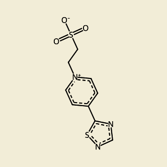 O=S(=O)([O-])CC[n+]1ccc(-c2ncns2)cc1